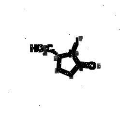 O=C(O)[C@H]1CCC(=O)N1I